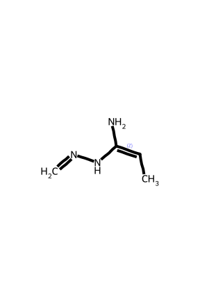 C=NN/C(N)=C\C